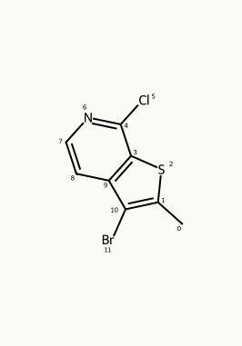 Cc1sc2c(Cl)nccc2c1Br